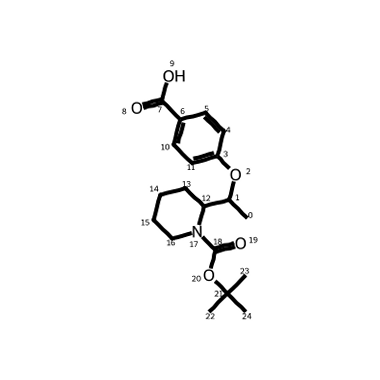 CC(Oc1ccc(C(=O)O)cc1)C1CCCCN1C(=O)OC(C)(C)C